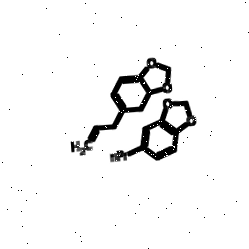 C=CCC1=CC=C2OCOC2C1.CCCc1ccc2c(c1)OCO2